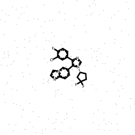 Fc1ccc(-c2ncn([C@@H]3CCC(F)(F)C3)c2-c2ccc3nccn3c2)cc1Cl